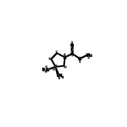 CC(C)(C)OC(=O)N1CC[C@@](C)(N)C1